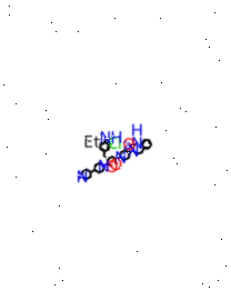 CCc1cc(C[C@@H](CC(=O)N2CCC(N3CCc4ccccc4NC3=O)CC2)C(=O)N2CCC(C3CCN(C)CC3)CC2)cc(Cl)c1N